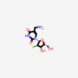 NCc1cn([C@@H]2O[C@H](CO)[C@@H](O)[C@H]2F)c(=O)[nH]c1=O